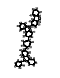 c1ccc(-n2c3ccccc3c3cc(-c4ccc(-c5ccc6c(c5)c5ccccc5n6-c5ccc6oc7ccccc7c6c5)cc4)ccc32)cc1